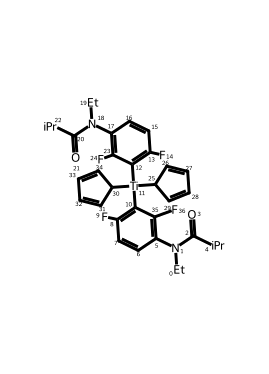 CCN(C(=O)C(C)C)c1ccc(F)[c]([Ti]([c]2c(F)ccc(N(CC)C(=O)C(C)C)c2F)([CH]2C=CC=C2)[CH]2C=CC=C2)c1F